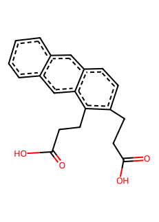 O=C(O)CCc1ccc2cc3ccccc3cc2c1CCC(=O)O